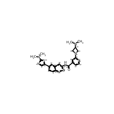 CN(C)c1ncc(-c2ccc3nnc(NC(=O)c4ccnc(N5CC(N(C)C)C5)c4)cc3c2)s1